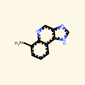 [AsH2]c1cccc2c1ncc1nc[nH]c12